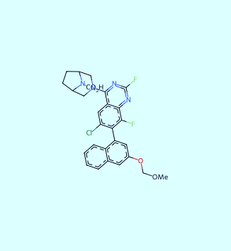 COCOc1cc(-c2c(Cl)cc3c(N4CC5CCC(C4)N5C(=O)O)nc(F)nc3c2F)c2ccccc2c1